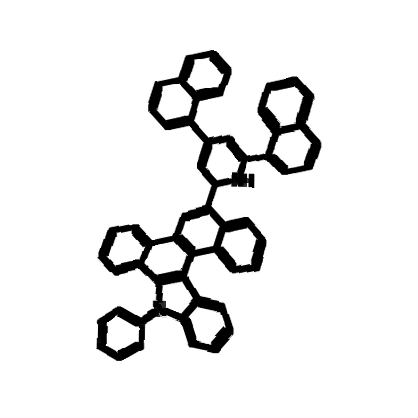 C1=C(c2cccc3ccccc23)C=C(c2cccc3ccccc23)NC1c1cc2c3ccccc3c3c(c4ccccc4n3-c3ccccc3)c2c2ccccc12